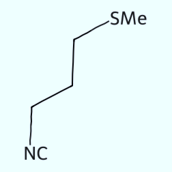 [C-]#[N+]CCCSC